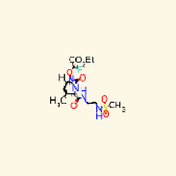 CCOC(=O)[C@H](F)ON1C(=O)N2C[C@@H]1C=C(C)[C@H]2C(=O)NCCNS(C)(=O)=O